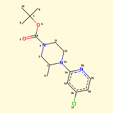 CC1CN(C(=O)OC(C)(C)C)CCN1c1cc(Cl)ccn1